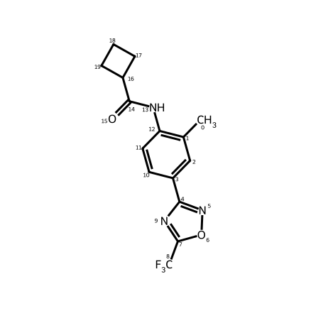 Cc1cc(-c2noc(C(F)(F)F)n2)ccc1NC(=O)C1CCC1